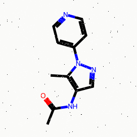 CC(=O)Nc1cnn(-c2ccncc2)c1C